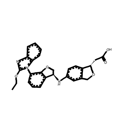 CCOc1nc2ccccc2n1-c1cccc2c1OC[C@H]2Nc1ccc2c(c1)CO[C@H]2CC(=O)O